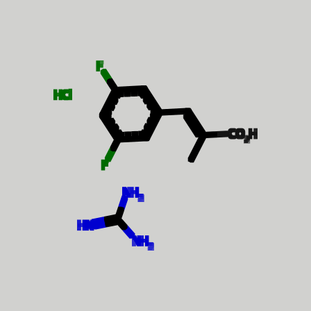 CC(=Cc1cc(F)cc(F)c1)C(=O)O.Cl.N=C(N)N